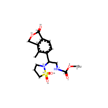 Cc1c(C(CNC(=O)OC(C)(C)C)N2CCCS2(=O)=O)ccc2c1COC2=O